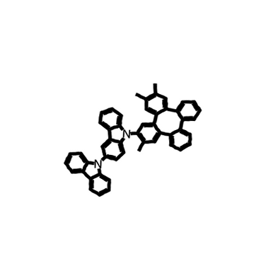 Cc1cc2c(cc1C)-c1cc(-n3c4ccccc4c4cc(-n5c6ccccc6c6ccccc65)ccc43)c(C)cc1-c1ccccc1-c1ccccc1-2